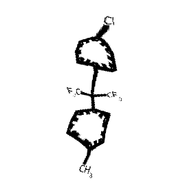 Cc1ccc(C(c2ccc(Cl)cc2)(C(F)(F)F)C(F)(F)F)cc1